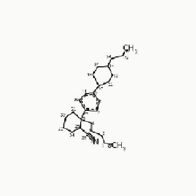 CCCCCC1(c2ccc(C3CCC(CCC)CC3)cc2)CCCCC1C#N